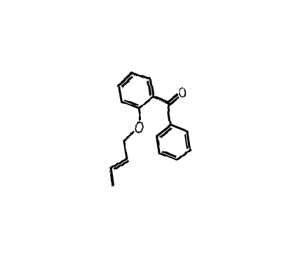 CC=CCOc1ccccc1C(=O)c1ccccc1